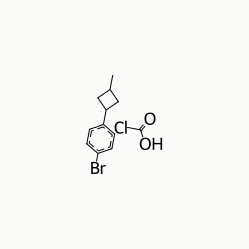 CC1CC(c2ccc(Br)cc2)C1.O=C(O)Cl